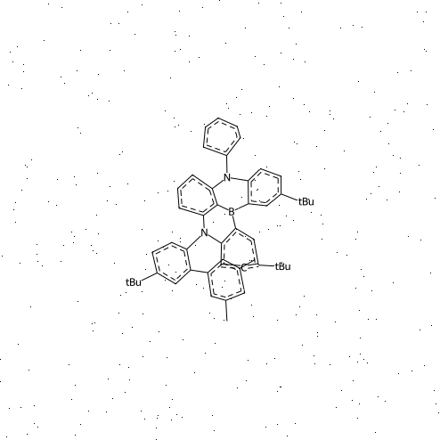 Cc1cc(C)cc(-c2cc(C(C)(C)C)ccc2N2c3ccc(C(C)(C)C)cc3B3c4cc(C(C)(C)C)ccc4N(c4ccccc4)c4cccc2c43)c1